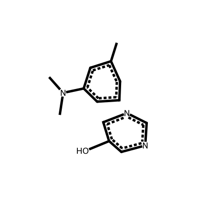 Cc1cccc(N(C)C)c1.Oc1cncnc1